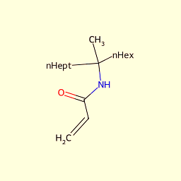 C=CC(=O)NC(C)(CCCCCC)CCCCCCC